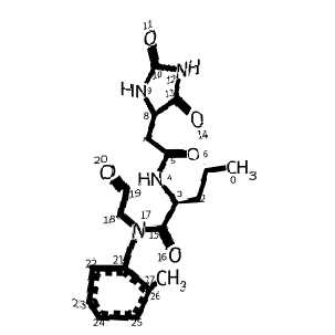 CCC[C@H](NC(=O)CC1NC(=O)NC1=O)C(=O)N(CC=O)c1ccccc1C